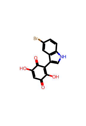 O=C1C=C(O)C(=O)C(c2c[nH]c3ccc(Br)cc23)=C1O